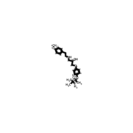 [CH2]Oc1ccc(CCNC[C@H](O)COc2ccc(O[Si](C)(C)C(C)(C)C)cc2)cc1